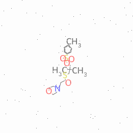 Cc1ccc(S(=O)(=O)OCC(C)(C)CSC(=O)CCN2CCOCC2)cc1